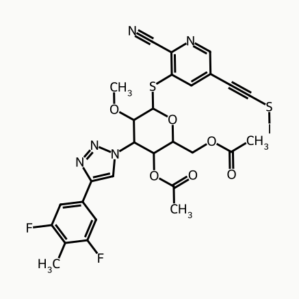 COC1C(Sc2cc(C#CSI)cnc2C#N)OC(COC(C)=O)C(OC(C)=O)C1n1cc(-c2cc(F)c(C)c(F)c2)nn1